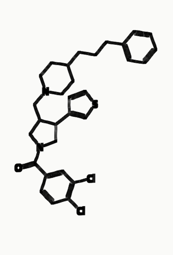 O=C(c1ccc(Cl)c(Cl)c1)N1CC(CN2CCC(CCCc3ccccc3)CC2)C(c2ccsc2)C1